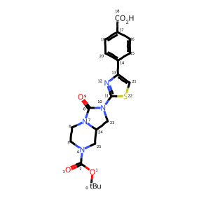 CC(C)(C)OC(=O)N1CCN2C(=O)N(c3nc(-c4ccc(C(=O)O)cc4)cs3)CC2C1